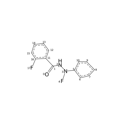 O=C(NN(F)c1ccccc1)c1ccccc1F